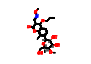 C=CCOc1c(C=NOC)c(=O)oc2c(C)c([C@@H]3O[C@](C)(CO)[C@H](OC)[C@H](O)[C@H]3O)ccc12